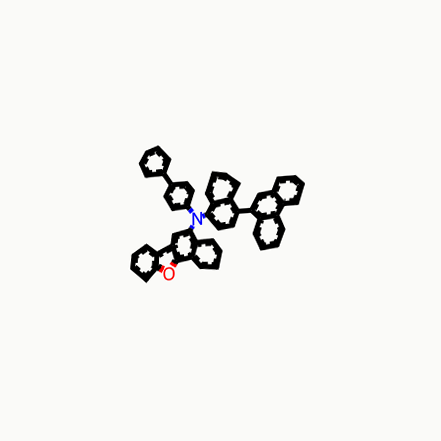 c1ccc(-c2ccc(N(c3ccc(-c4cc5ccccc5c5ccccc45)c4ccccc34)c3cc4c5ccccc5oc4c4ccccc34)cc2)cc1